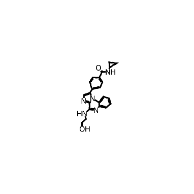 O=C(NC1CC1)c1ccc(-c2cnc3c(NCCO)nc4ccccc4n23)cc1